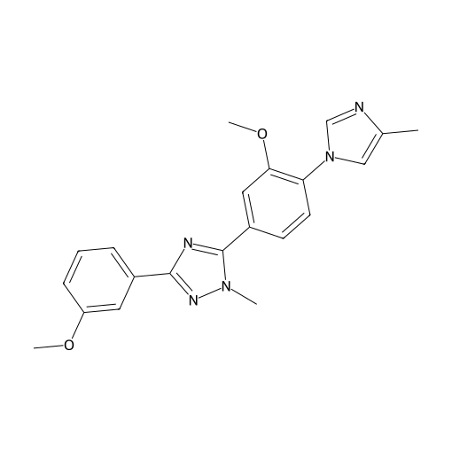 COc1cccc(-c2nc(-c3ccc(-n4cnc(C)c4)c(OC)c3)n(C)n2)c1